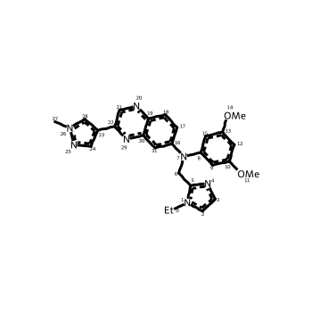 CCn1ccnc1CN(c1cc(OC)cc(OC)c1)c1ccc2ncc(-c3cnn(C)c3)nc2c1